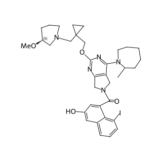 CO[C@H]1CCCN(CC2(COc3nc4c(c(N5CCCCCC5C)n3)CN(C(=O)c3cc(O)cc5cccc(I)c35)C4)CC2)C1